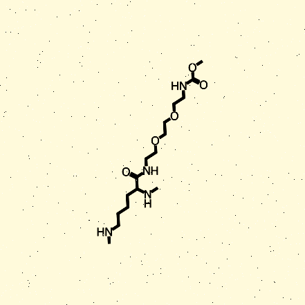 CNCCCCC(NC)C(=O)NCCOCCOCCNC(=O)OC